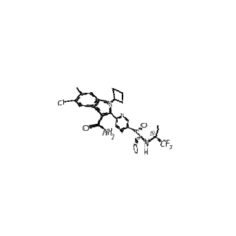 Cc1cc2c(cc1Cl)c(C(N)=O)c(-c1ccc(S(=O)(=O)N[C@@H](C)C(F)(F)F)cn1)n2C1CCC1